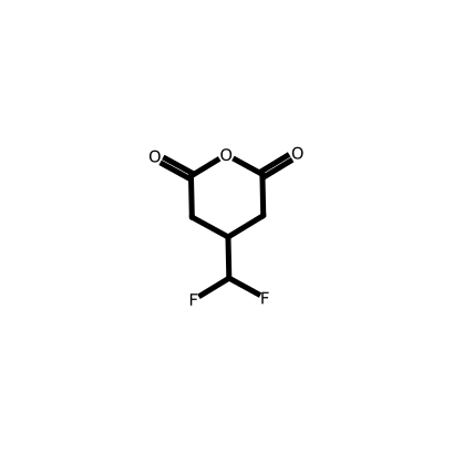 O=C1CC(C(F)F)CC(=O)O1